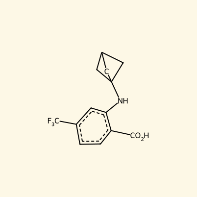 O=C(O)c1ccc(C(F)(F)F)cc1NC12CC(C1)C2